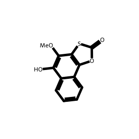 COc1c(O)c2ccccc2c2oc(=O)sc12